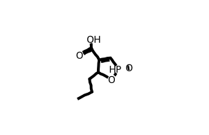 CCCC1O[PH](=O)C=C1C(=O)O